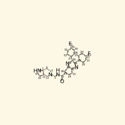 O=C(NCN1CCc2[nH]ccc2C1)c1ccc2nc(-c3ccc(F)cc3)c(-c3ccc(F)cc3)nc2c1